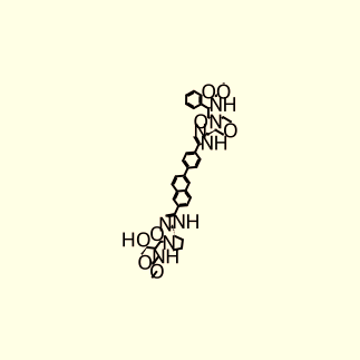 COC(=O)N[C@H](C(=O)N1CCC[C@H]1c1ncc(-c2ccc3cc(-c4ccc(-c5cnc([C@@H]6COCCN6C(=O)[C@H](NC(=O)OC)c6ccccc6)[nH]5)cc4)ccc3c2)[nH]1)[C@@H](C)O